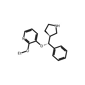 CCOc1ncccc1O[C@@H](c1ccccc1)[C@H]1CCNC1